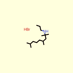 Br.CCCNC(C)(C)CC(C)CCCC(C)C